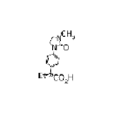 CC[C@H](C(=O)O)c1ccc(N2CCN(C)C2=O)cc1